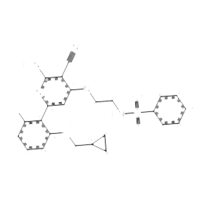 N#Cc1c(NCCNS(=O)(=O)c2ccccc2)cc(-c2c(O)cccc2OCC2CC2)nc1N